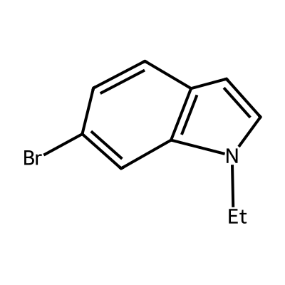 CCn1ccc2ccc(Br)cc21